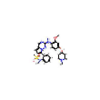 COc1cc(OC2CCN(C)CC2)ccc1Nc1ncc2ccc(-c3ccccc3N(C)S(C)(=O)=O)n2n1